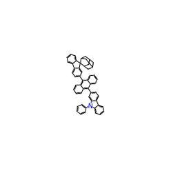 c1ccc(-n2c3ccccc3c3ccc(-c4c5ccccc5c(-c5ccc6c(c5)C5(c7ccccc7-6)C6CC7CC(C6)CC5C7)c5ccccc45)cc32)cc1